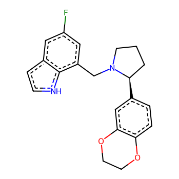 Fc1cc(CN2CCC[C@H]2c2ccc3c(c2)OCCO3)c2[nH]ccc2c1